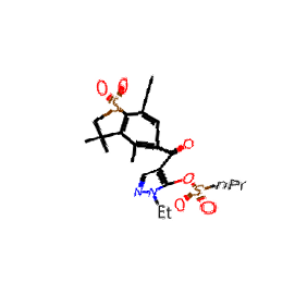 CCCS(=O)(=O)Oc1c(C(=O)c2cc(C)c3c(c2C)C(C)(C)CS3(=O)=O)cnn1CC